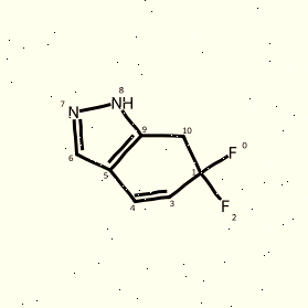 FC1(F)C=Cc2cn[nH]c2C1